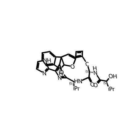 CC(C)[C@H](O)C(=O)N[C@H]1Cc2ccc3c(c2)C2(c4ccccc4NC2O3)c2oc(nc2-c2ncc[nH]2)[C@H](C(C)C)NC1=O